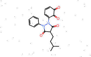 CC(C)CCC1C(=O)N(C2=CC=CC(=O)C2=O)N(c2ccccc2)C1=O